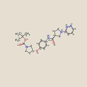 CC(C)(C)OC(=O)N1CC[C@@H](Oc2ccc(NC(=O)[C@H]3CCN(c4cccnn4)C3)cc2)C1